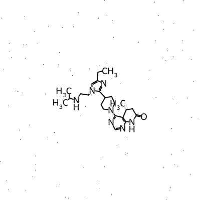 CCc1cn(CCNC(C)C)c(C2CCN(c3ncnc4c3[C@H](C)CC(=O)N4)CC2)n1